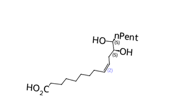 CCCCC[C@H](O)[C@@H](O)C/C=C\CCCCCCCC(=O)O